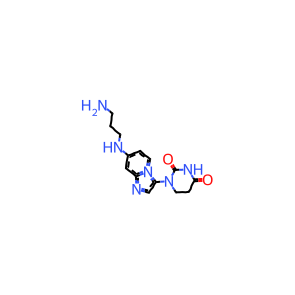 NCCCNc1ccn2c(N3CCC(=O)NC3=O)cnc2c1